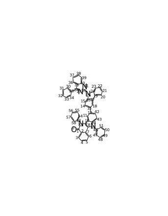 O=c1c2ccccc2c2c(c3cc(-c4ccc5c(c4)c4ccccc4n5-c4nc(-c5ccccc5)c5ccccc5n4)ccc3n2-c2ccccc2)n1-c1ccccc1